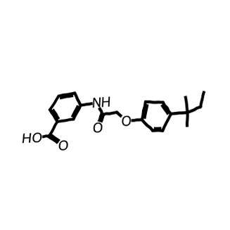 CCC(C)(C)c1ccc(OCC(=O)Nc2cccc(C(=O)O)c2)cc1